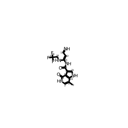 Cc1c[nH]c(=O)c2c(C(=O)N/C(=C/C=N)NCC(F)(F)F)c[nH]c12